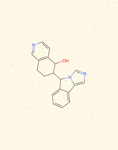 OC1c2ccncc2CCC1C1c2ccccc2-c2cncn21